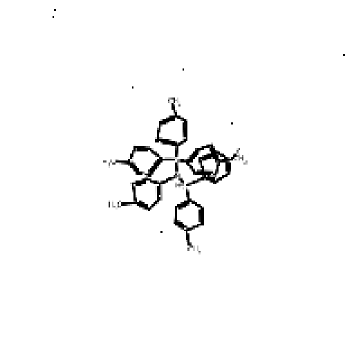 Cc1ccc(N([SiH](c2ccc(C)cc2)c2ccc(C)cc2)[Si](c2ccc(C)cc2)(c2ccc(C)cc2)c2ccc(C)cc2)cc1